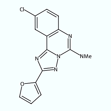 CNc1nc2ccc(Cl)cc2c2nc(-c3ccco3)nn12